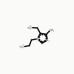 CCCn1cnc(C)c1CC